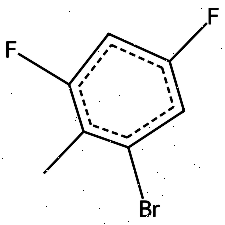 Cc1c(F)cc(F)cc1Br